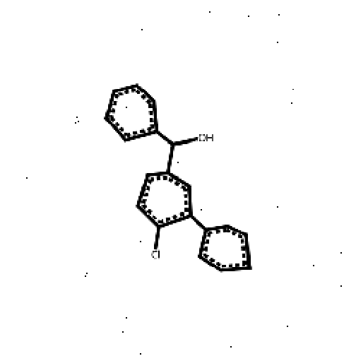 OC(c1ccccc1)c1ccc(Cl)c(-c2ccccc2)c1